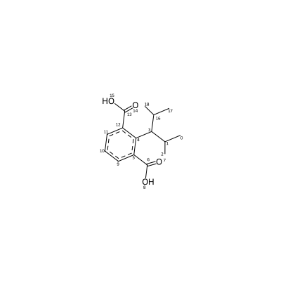 CC(C)C(c1c(C(=O)O)cccc1C(=O)O)C(C)C